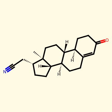 C[C@]12CC[C@H]3[C@@H](CCC4=CC(=O)CC[C@@H]43)[C@@H]1CC[C@@H]2CC#N